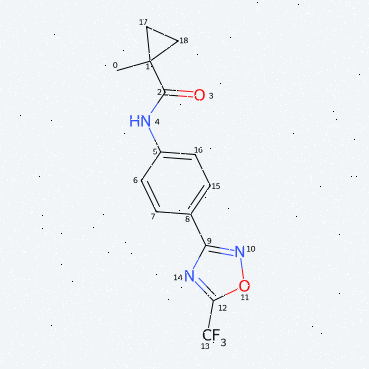 CC1(C(=O)Nc2ccc(-c3noc(C(F)(F)F)n3)cc2)CC1